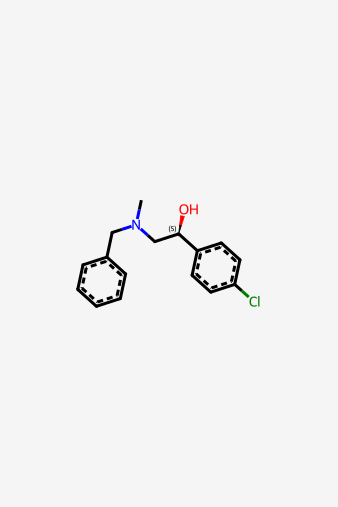 CN(Cc1ccccc1)C[C@@H](O)c1ccc(Cl)cc1